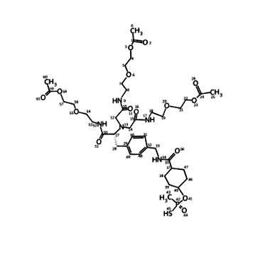 CC(=O)OCCOCCNC(=O)CN(CC(=O)NCCOCCOC(C)=O)[C@H](Cc1ccc(CNC(=O)C2CCC(OP(C)(=O)S)CC2)cc1)C(=O)NCCOCCOC(C)=O